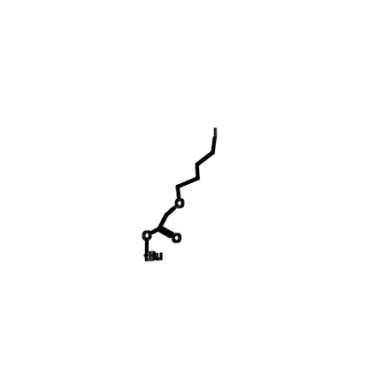 CC(C)(C)OC(=O)COCCCCI